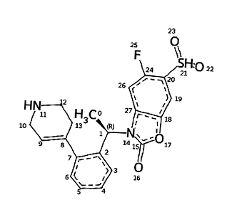 C[C@H](c1ccccc1C1=CCNCC1)n1c(=O)oc2cc([SH](=O)=O)c(F)cc21